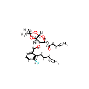 CCCCc1c(F)cccc1CO[C@@H]1[C@H]2OC(C)(C)O[C@H]2O[C@@H]1C(=O)CCC